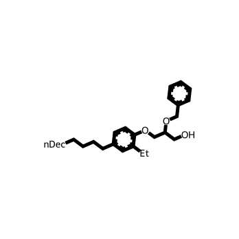 CCCCCCCCCCCCCCc1ccc(OCC(CO)OCc2ccccc2)c(CC)c1